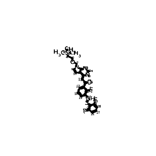 C[Si](C)(C)CCOCn1ccc2c(CC(=O)c3cccc(NSc4c(F)cccc4F)c3F)ncnc21